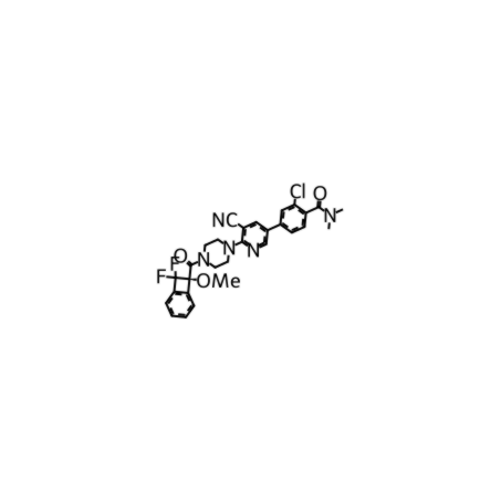 CO[C@@]1(C(=O)N2CCN(c3ncc(-c4ccc(C(=O)N(C)C)c(Cl)c4)cc3C#N)CC2)c2ccccc2C1(F)F